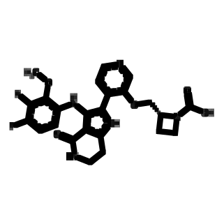 COc1c(Nc2c(-c3ccncc3OC[C@H]3CCN3C(=O)O)[nH]c3c2C(=O)NCC3)ccc(F)c1F